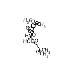 COc1cc(COC(=O)NC(CO)COC(=O)CCCCC(=O)C(C)C)c([N+](=O)[O-])cc1OC